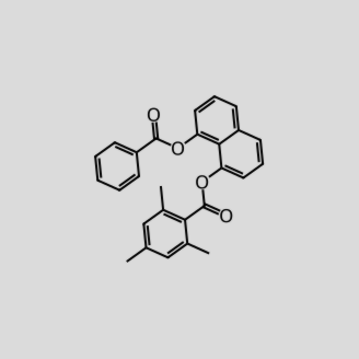 Cc1cc(C)c(C(=O)Oc2cccc3cccc(OC(=O)c4ccccc4)c23)c(C)c1